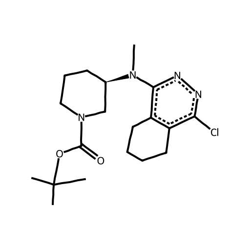 CN(c1nnc(Cl)c2c1CCCC2)[C@@H]1CCCN(C(=O)OC(C)(C)C)C1